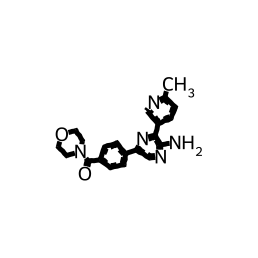 Cc1ccc(-c2nc(-c3ccc(C(=O)N4CCOCC4)cc3)cnc2N)cn1